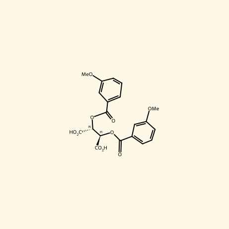 COc1cccc(C(=O)O[C@@H](C(=O)O)[C@@H](OC(=O)c2cccc(OC)c2)C(=O)O)c1